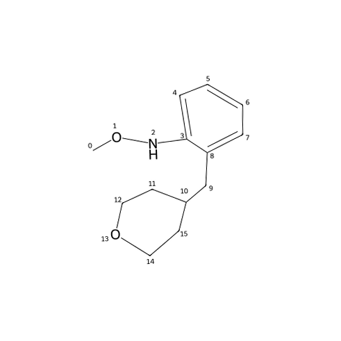 CONc1ccccc1CC1CCOCC1